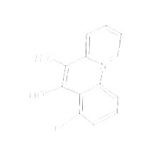 Cc1c(O)c2c(F)cccc2[n+]2ccccc12